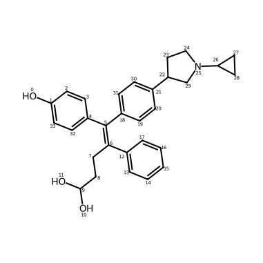 Oc1ccc(/C(=C(\CCC(O)O)c2ccccc2)c2ccc(C3CCN(C4CC4)C3)cc2)cc1